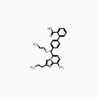 CCCO[C@H](c1ccc(-c2ccccc2C(=O)O)cc1)c1ccc(C)c2nc(CCC)cn12